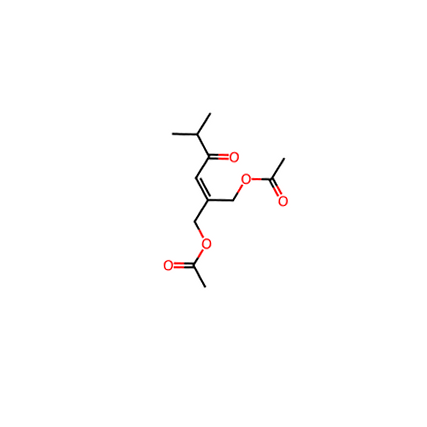 CC(=O)OCC(=CC(=O)C(C)C)COC(C)=O